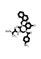 CN[C@@H](C)C(=O)N[C@H]1CN(C(=O)c2ccc(N)cc2)c2cc(Cl)ccc2N(Cc2c(C)ccc3ccccc23)C1=O